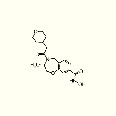 C[C@H]1COc2cc(C(=O)NO)ccc2CN1C(=O)CC1CCOCC1